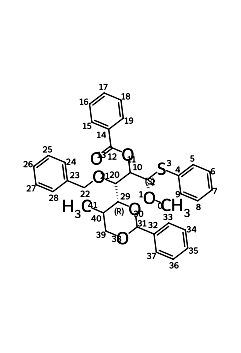 CO[C@@H](Sc1ccccc1)C(OC(=O)c1ccccc1)C(OCc1ccccc1)[C@@H]1OC(c2ccccc2)OCC1C